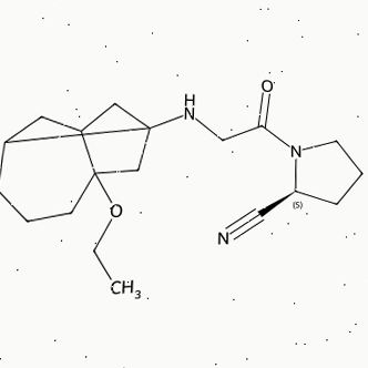 CCOC12CCCC3CC1CC3(NCC(=O)N1CCC[C@H]1C#N)C2